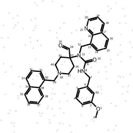 COc1cccc(CNC(=O)N(Cc2cccc3cccnc23)C2(C=O)CCN(Cc3cccc4ccccc34)CC2)c1